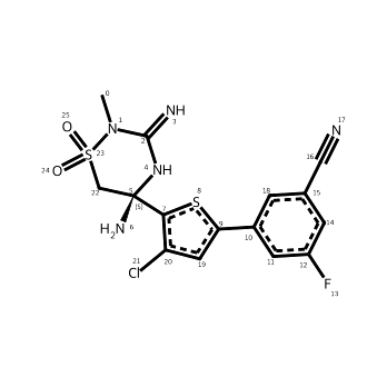 CN1C(=N)N[C@](N)(c2sc(-c3cc(F)cc(C#N)c3)cc2Cl)CS1(=O)=O